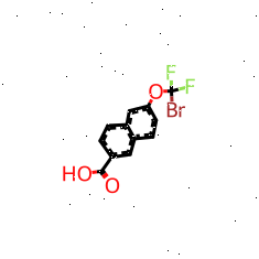 O=C(O)c1ccc2cc(OC(F)(F)Br)ccc2c1